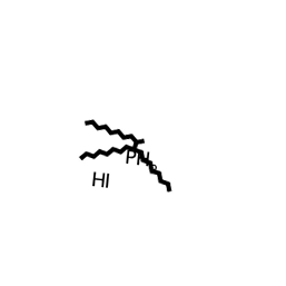 CCCCCCCCC(C)C(P)(CCCCCCCC)CCCCCCCC.I